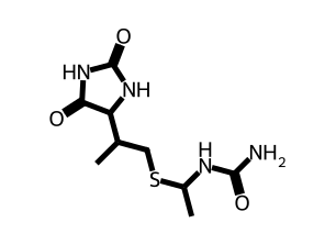 CC(NC(N)=O)SCC(C)C1NC(=O)NC1=O